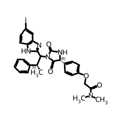 C[C@@H](c1ccccc1)C(c1nc2cc(I)ccc2[nH]1)N1C(=O)N[C@H](c2ccc(OCC(=O)N(C)C)cc2)C1=O